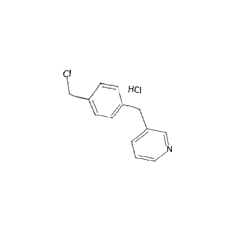 Cl.ClCc1ccc(Cc2cccnc2)cc1